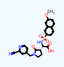 COc1ccc2ccc(S(=O)(=O)NC(C(=O)O)[C@@H]3CCN(Cc4ccnc(C#N)c4)C3=O)cc2c1